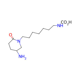 NC1CCC(=O)N(CCCCCCCNC(=O)O)C1